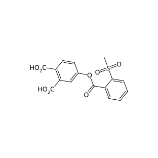 CS(=O)(=O)c1ccccc1C(=O)Oc1ccc(C(=O)O)c(C(=O)O)c1